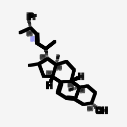 CC(/C=C/[C@H](C)C(C)C)[C@H]1C(C)C[C@H]2C3=CC=C4C[C@@H](O)CC[C@]4(C)[C@H]3CC[C@]12C